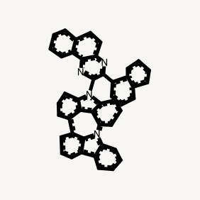 c1ccc2c(-c3nc4ccc5ccccc5c4nc3-n3c4cccc5c6cccc7c8ccccc8n(c8cccc3c8c54)c67)cccc2c1